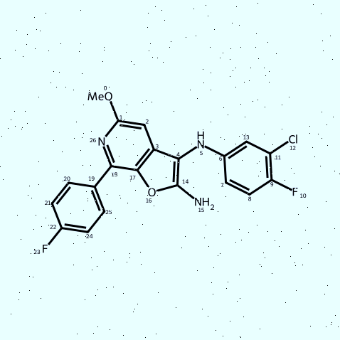 COc1cc2c(Nc3ccc(F)c(Cl)c3)c(N)oc2c(-c2ccc(F)cc2)n1